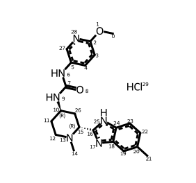 COc1ccc(NC(=O)N[C@@H]2CCN(C)[C@@H](c3nc4cc(C)ccc4[nH]3)C2)cn1.Cl